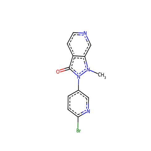 Cn1c2cnccc2c(=O)n1-c1ccc(Br)nc1